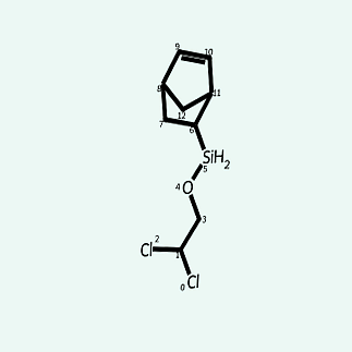 ClC(Cl)CO[SiH2]C1CC2C=CC1C2